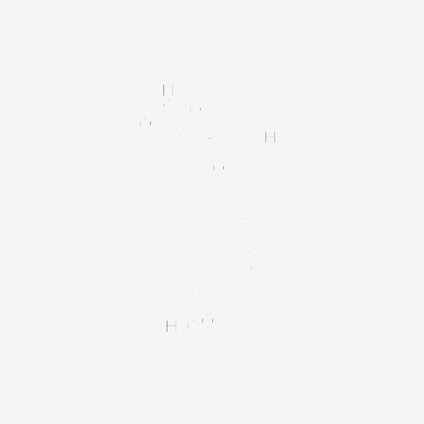 CCCc1c(OC2CCCC(Oc3ccc(CC(=O)OC)cc3)C2)ccc(C(C)=O)c1O